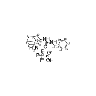 NC12CC3CC(C1)CC(NC(=O)NCc1ccccc1)(C3)C2.O=C(O)C(F)(F)F